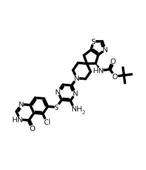 CC(C)(C)OC(=O)N[C@@H]1c2ncsc2CC12CCN(c1cnc(Sc3ccc4nc[nH]c(=O)c4c3Cl)c(N)n1)CC2